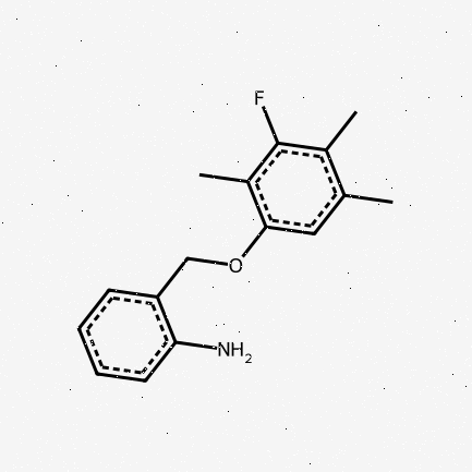 Cc1cc(OCc2ccccc2N)c(C)c(F)c1C